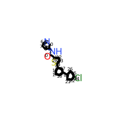 O=C(NC1CN2CCC1CC2)c1ccc(-c2cccc(-c3ccc(Cl)cc3)c2)s1